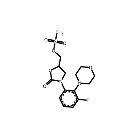 CS(=O)(=O)OCC1CN(c2cccc(F)c2N2CCOCC2)C(=O)O1